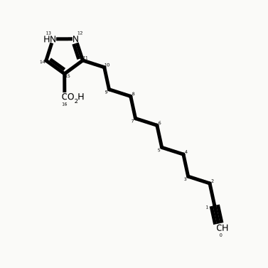 C#CCCCCCCCCCc1n[nH]cc1C(=O)O